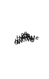 COc1nc(-c2cccc(-c3cccc(-c4cnc(CNC[C@@H]5CCC(=O)N5)c(OC)n4)c3Cl)c2Cl)ccc1CN[C@H]1CCOC1